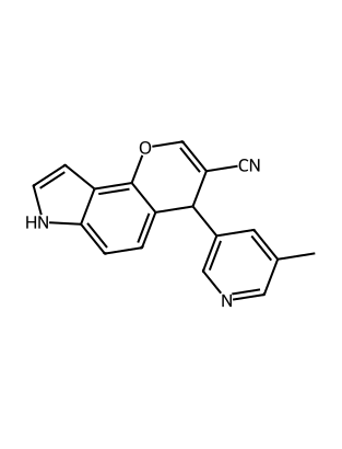 Cc1cncc(C2C(C#N)=COc3c2ccc2[nH]ccc32)c1